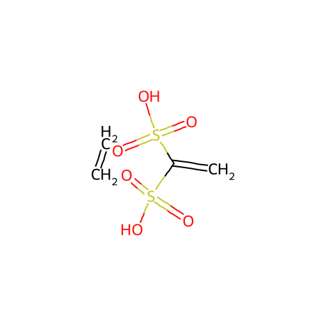 C=C.C=C(S(=O)(=O)O)S(=O)(=O)O